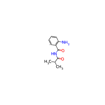 CC(C)C(=O)NC(=O)c1[c]cccc1N